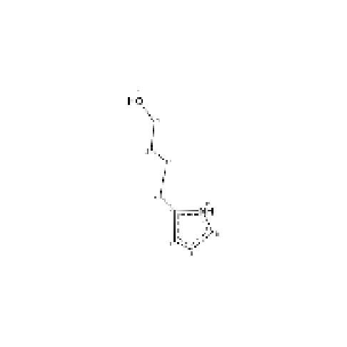 OCCCCc1ccc[nH]1